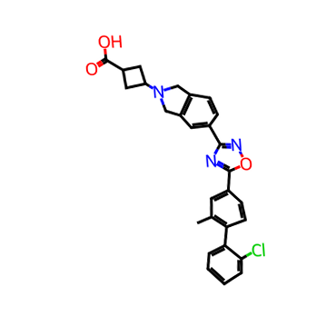 Cc1cc(-c2nc(-c3ccc4c(c3)CN(C3CC(C(=O)O)C3)C4)no2)ccc1-c1ccccc1Cl